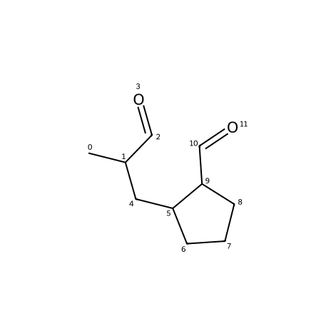 CC(C=O)CC1CCCC1C=O